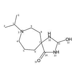 CC(C)N1CCCC2(CC1)NC(O)NC2=O